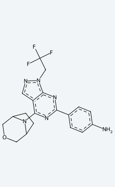 Nc1ccc(-c2nc(N3C4CCC3COC4)c3cnn(CC(F)(F)F)c3n2)cc1